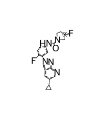 O=C(Nc1ccc(F)c(-n2cc3cc(C4CC4)cnc3n2)c1)N1CC[C@@H](F)C1